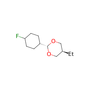 CC[C@H]1CO[C@H](C2CCC(F)CC2)OC1